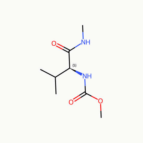 CNC(=O)[C@@H](NC(=O)OC)C(C)C